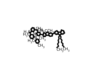 CCCCCCCCC1(CCCCCCCC)c2ccccc2-c2ccc(-c3ccc4c(c3)C(C)(C)c3cc(-c5cc6c7c(c5)C(C)(C)c5cccc8c5N7c5c(cccc5C8(C)C)B6c5c(C)cc(C)cc5C)ccc3-4)cc21